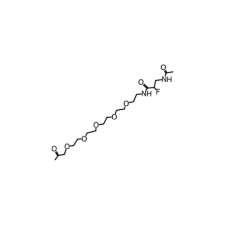 CC(=O)COCCOCCOCCOCCOCCNC(=O)C(F)CNC(C)=O